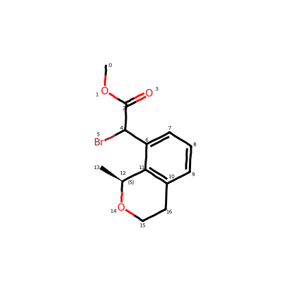 COC(=O)C(Br)c1cccc2c1[C@H](C)OCC2